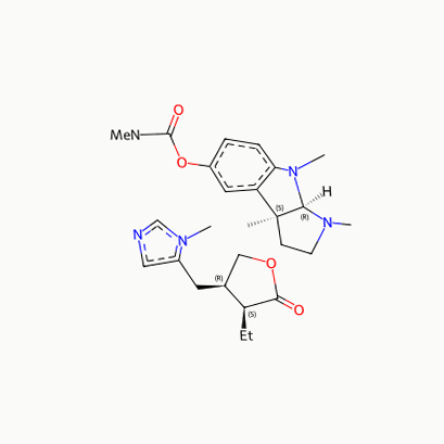 CC[C@@H]1C(=O)OC[C@@H]1Cc1cncn1C.CNC(=O)Oc1ccc2c(c1)[C@]1(C)CCN(C)[C@@H]1N2C